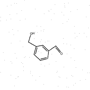 O=Cc1cccc(CO)c1